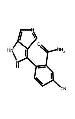 N#Cc1ccc(-c2[nH][nH]c3cncc2-3)c(C(N)=O)c1